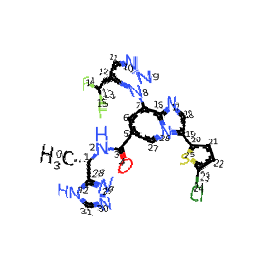 C[C@H](NC(=O)c1cc(-n2nncc2C(F)F)c2ncc(-c3ccc(Cl)s3)n2c1)c1nnc[nH]1